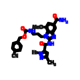 CCn1nc(C)cc1C(=O)Nc1nc2cc(C(N)=O)cc(OC)c2n1CCCNC(=O)OCc1ccc(C#N)cc1